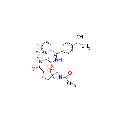 CC(=O)N1CC2(CCC(C(=O)N3C[C@H](F)C[C@H]3C(=O)N[C@@H](c3ccccc3)c3ccc(C(C)C)cc3)O2)C1